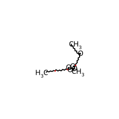 CCCCCCCCCCCCCCCC(=O)OCC(C)OC(=O)CCCCCCCC1OC1CCCCCCCC